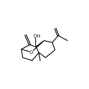 C=C(C)C1CCC2(C)CCC3OC1C2(O)C3=C